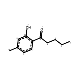 CCCCC(=O)c1ccc(C)cc1O